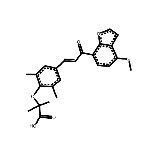 CSc1ccc(C(=O)C=Cc2cc(C)c(OC(C)(C)C(=O)O)c(C)c2)c2occc12